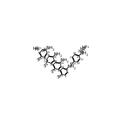 F.F.F.F.F.Nc1ccc([S])cc1.Nc1ccc([S])cc1.Nc1ccc([S])cc1.Nc1ccc([S])cc1.Nc1ccc([S])cc1